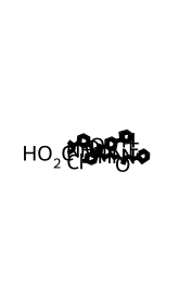 CC(NC(=O)O)c1cccc(Oc2cc(Cl)ccc2N(CCCNC(=O)NCc2ccccc2F)C(=O)c2ccc(-c3ccccc3)cc2)c1